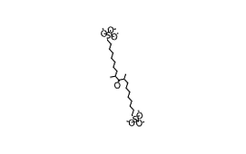 CO[Si](CCCCCCCCC(C)C(=O)C(C)CCCCCCCC[Si](OC)(OC)OC)(OC)OC